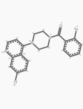 [2H]c1ccccc1C(=O)N1CCN(c2ccnc3cc(Cl)ccc23)CC1